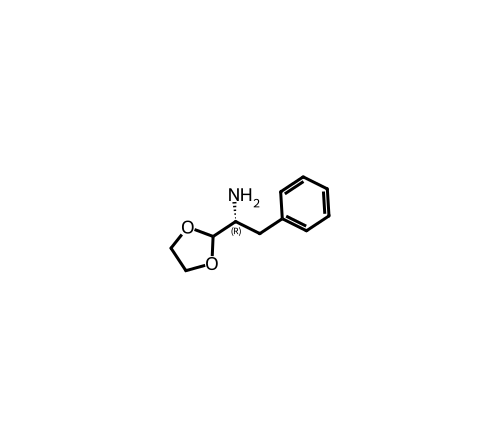 N[C@H](Cc1ccccc1)C1OCCO1